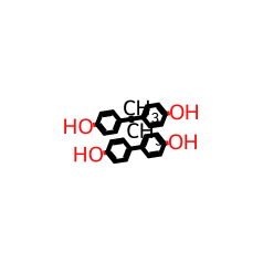 CC(C)(c1ccc(O)cc1)c1ccc(O)cc1.Oc1ccc(-c2ccc(O)cc2)cc1